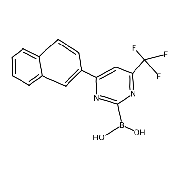 OB(O)c1nc(-c2ccc3ccccc3c2)cc(C(F)(F)F)n1